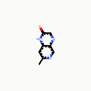 Cc1cc2[nH]c(=O)cnc2cn1